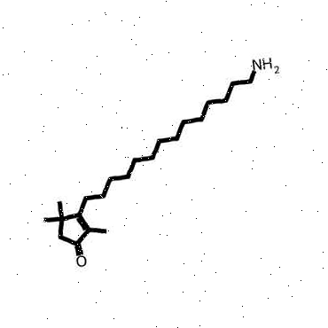 CC1=C(CCCCCCCCCCCCCCN)C(C)(C)CC1=O